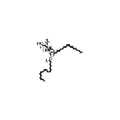 CC/C=C\C/C=C\C/C=C\C/C=C\CCCCC(=O)OC[C@H](COP(=O)(O)OC[C@H](N)C(=O)O)OC(=O)CCCCCCC/C=C\CCCCCCCC